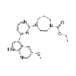 CCOC(=O)N1CCCN(c2nccc(-c3c[nH]c4ncc(OC)cc34)n2)CC1